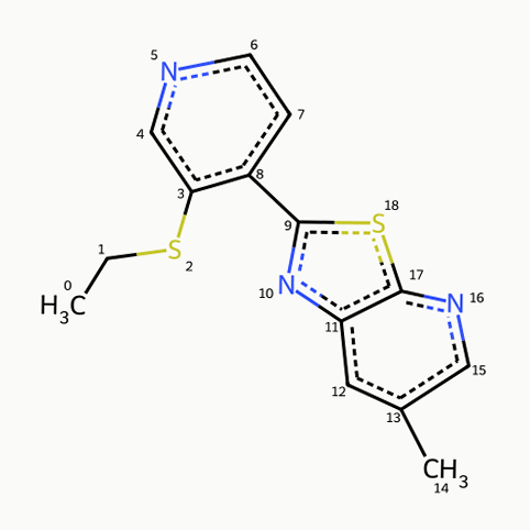 CCSc1cnccc1-c1nc2cc(C)cnc2s1